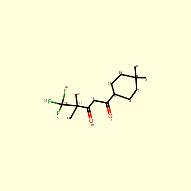 CC1(C)CCC(C(=O)CC(=O)C(C)(C)C(F)(F)F)CC1